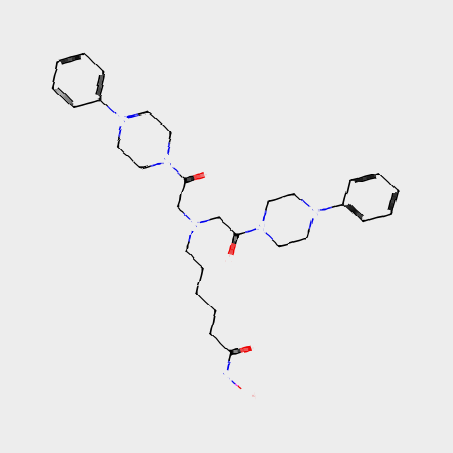 O=C(CCCCCN(CC(=O)N1CCN(c2ccccc2)CC1)CC(=O)N1CCN(c2ccccc2)CC1)NO